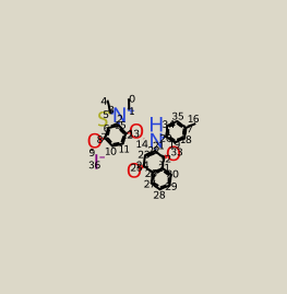 CC[n+]1c(C)sc2c(OC)ccc(OC)c21.Cc1ccc(NC2=CC(=O)c3ccccc3C2=O)cc1.[I-]